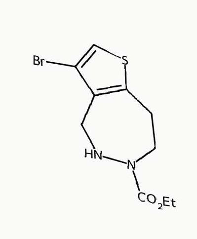 CCOC(=O)N1CCc2scc(Br)c2CN1